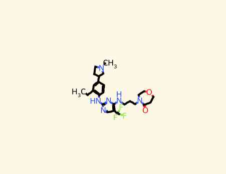 CCc1cc(C2CCN(C)C2)ccc1Nc1ncc(C(F)(F)F)c(NCCCN2CCOCCC2=O)n1